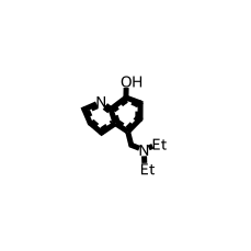 CCN(CC)Cc1ccc(O)c2ncccc12